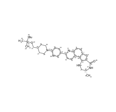 C[C@@H]1CNc2c(sc3ccc4nc(-c5ccc(N6CCC(CO[Si](C)(C)C(C)(C)C)CC6)nc5)ccc4c23)C(=O)N1